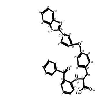 O=C(c1ccccc1)c1ccccc1NC(Cc1ccc(Oc2ccn(-c3nc4ccccc4o3)c2)cc1)C(=O)O